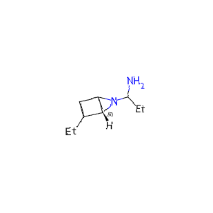 CCC1CC2[C@@H]1N2C(N)CC